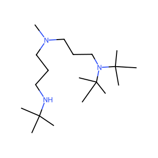 CN(CCCNC(C)(C)C)CCCN(C(C)(C)C)C(C)(C)C